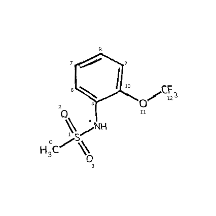 CS(=O)(=O)Nc1c[c]ccc1OC(F)(F)F